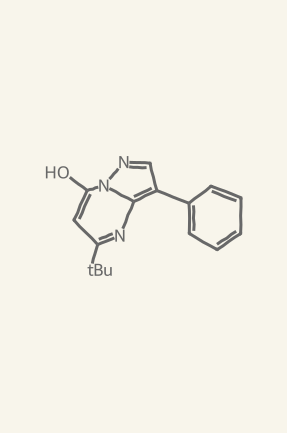 CC(C)(C)c1cc(O)n2ncc(-c3ccccc3)c2n1